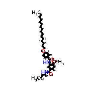 CCCCCCCCCCCCCCCCOc1ccc(C(=O)Nc2cc(C(=O)NCCCC)ccc2OC)cc1